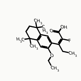 CCOc1cc2c(cc1/C(CC)=C(/F)C(=O)O)C(C)(C)CCC2(C)C